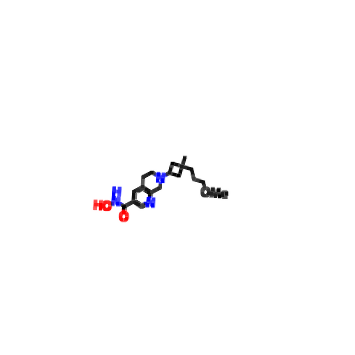 COCCCC1(C)CC(N2CCc3cc(C(=O)NO)cnc3C2)C1